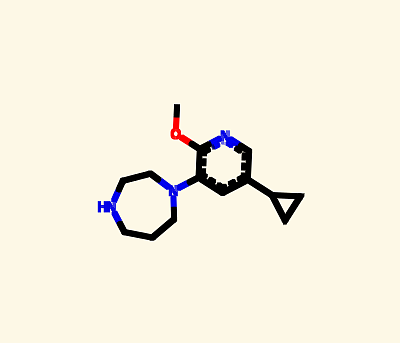 COc1ncc(C2CC2)cc1N1CCCNCC1